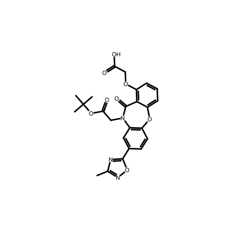 Cc1noc(-c2ccc3c(c2)N(CC(=O)OC(C)(C)C)C(=O)c2c(OCC(=O)O)cccc2O3)n1